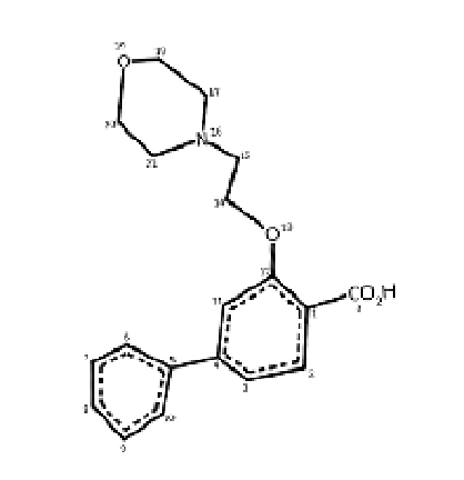 O=C(O)c1ccc(-c2ccccc2)cc1OCCN1CCOCC1